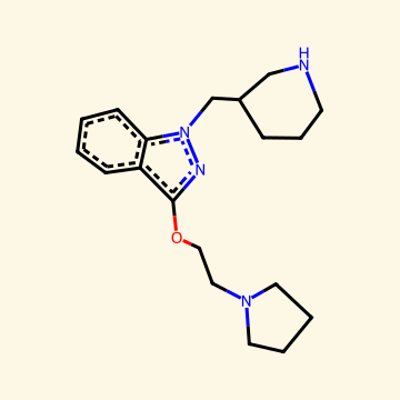 c1ccc2c(c1)c(OCCN1CCCC1)nn2CC1CCCNC1